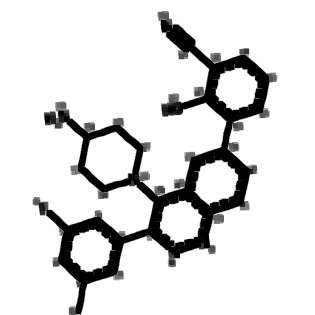 Cc1cc(F)cc(-c2nnc3ccc(-c4cccc(C#N)c4O)cc3c2N2CCC(N)CC2)c1